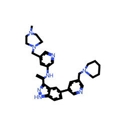 C=C(Nc1cncc(CN2CCN(C)CC2)c1)c1n[nH]c2ccc(-c3cncc(CN4CCCCC4)c3)cc12